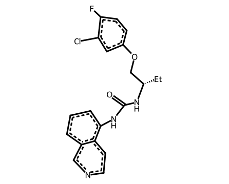 CC[C@@H](COc1ccc(F)c(Cl)c1)NC(=O)Nc1cccc2cnccc12